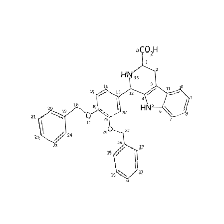 O=C(O)C1Cc2c([nH]c3ccccc23)C(c2ccc(OCc3ccccc3)c(OCc3ccccc3)c2)N1